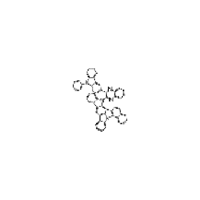 c1ccc(-n2c3ccccc3c3cc(-c4nc5ccccc5nc4-n4c5ccccc5c5cc6c7ccccc7n7c8c9ccccc9ccc8c(c54)c67)ccc32)cc1